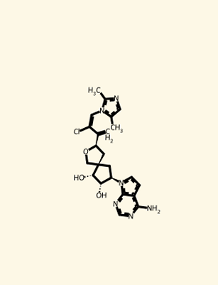 C=C(/C(Cl)=C\n1c(C)cnc1C)[C@H]1C[C@@]2(CO1)C[C@@H](n1ccc3c(N)ncnc31)[C@H](O)[C@@H]2O